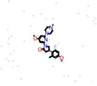 COc1cc(N2CCN(C)CC2)nc(N2C[C@@H](c3c(C)cc(OC)cc3F)CC2=O)c1